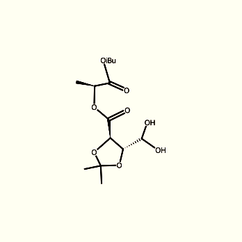 CC(C)COC(=O)[C@H](C)OC(=O)[C@@H]1OC(C)(C)O[C@H]1C(O)O